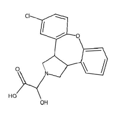 O=C(O)C(O)N1CC2c3ccccc3Oc3ccc(Cl)cc3C2C1